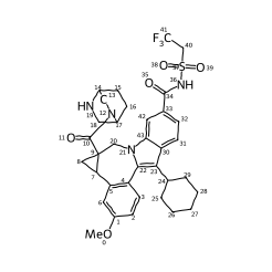 COc1ccc2c(c1)C1CC1(C(=O)N1CC3CCC1CN3)Cn1c-2c(C2CCCCC2)c2ccc(C(=O)NS(=O)(=O)CC(F)(F)F)cc21